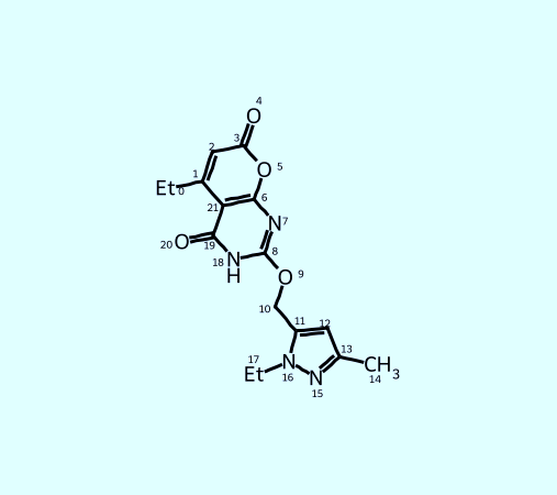 CCc1cc(=O)oc2nc(OCc3cc(C)nn3CC)[nH]c(=O)c12